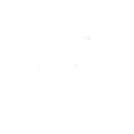 [Li][c]1cccc(CN)c1